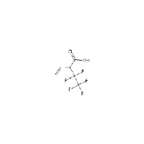 C=CC(C(=O)O)C(F)(F)C(F)(F)F